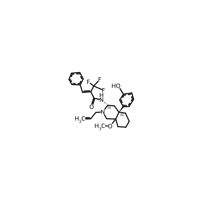 C=CCN1CC2(OC)CCCC[C@@]2(c2cccc(O)c2)C[C@H]1NC(=O)C(=Cc1ccccc1)C(F)(F)F